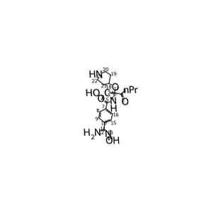 CCCC(=O)C(NC(=O)c1ccc(C(N)=NO)cc1)(OC1CCNCC1)C(=O)O